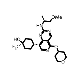 COC[C@H](C)Nc1ncc2c(OC3CCOCC3)ncc([C@H]3CC[C@@](O)(C(F)(F)F)CC3)c2n1